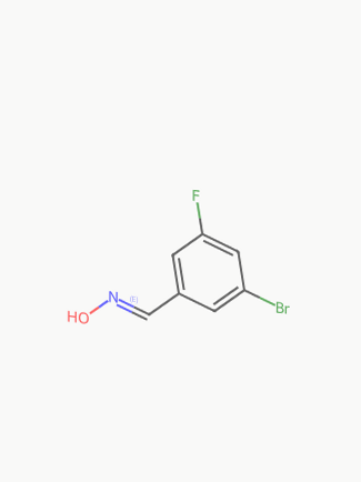 O/N=C/c1cc(F)cc(Br)c1